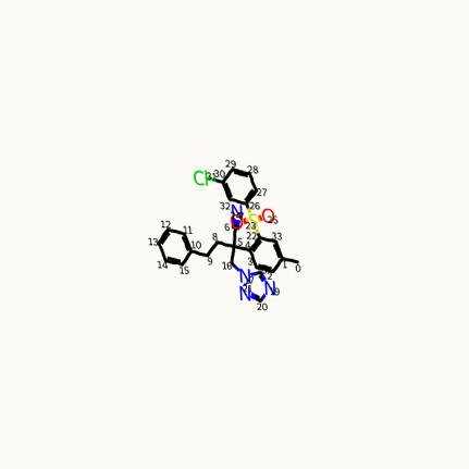 Cc1ccc(C(C#N)(CCc2ccccc2)Cn2cncn2)c(S(=O)(=O)c2cccc(Cl)c2)c1